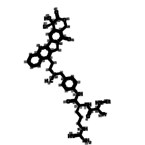 CCN[C@H](C(=O)N[C@@H](CCCNC(=N)N)C(=O)Nc1ccc(CN(C)CCc2c3c(nc4ccccc24)-c2cc4c(c(=O)n2C3)COC(=O)[C@]4(O)CC)cc1)C(C)C